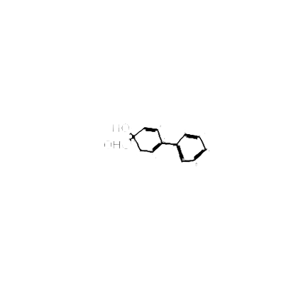 O=CC1(O)C=CC(c2ccccc2)=CC1